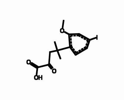 COc1cc(I)ccc1C(C)(C)CC(=O)C(=O)O